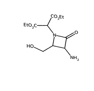 CCOC(=O)C(C(=O)OCC)N1C(=O)C(N)C1CO